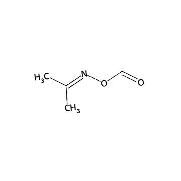 CC(C)=NOC=O